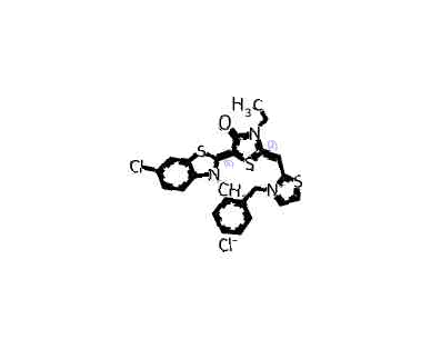 CCn1c(=O)/c(=C2\Sc3cc(Cl)ccc3N2C)s/c1=C\c1scc[n+]1Cc1ccccc1.[Cl-]